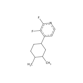 CC1CCC(c2ccnc(F)c2F)CC1C